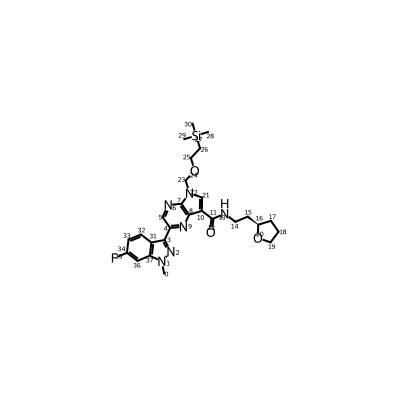 Cn1nc(-c2cnc3c(n2)c(C(=O)NCC[C@H]2CCCO2)cn3COCC[Si](C)(C)C)c2ccc(F)cc21